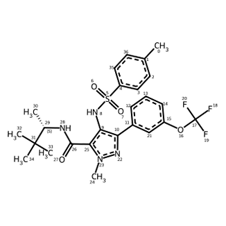 Cc1ccc(S(=O)(=O)Nc2c(-c3cccc(OC(F)(F)F)c3)nn(C)c2C(=O)N[C@@H](C)C(C)(C)C)cc1